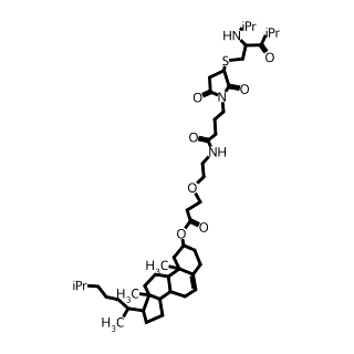 CC(C)CCCC(C)C1CCC2C3CC=C4CCC(OC(=O)CCOCCNC(=O)CCCN5C(=O)CC(SCC(NC(C)C)C(=O)C(C)C)C5=O)CC4(C)C3CCC12C